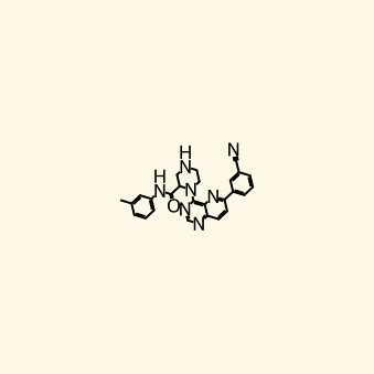 Cc1cccc(NC(=O)C2CNCCN2c2ncnc3ccc(-c4cccc(C#N)c4)nc23)c1